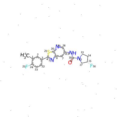 Cc1cc(-c2nc3cc(NC(=O)N4CC[C@H](F)C4)cnc3s2)ccc1F